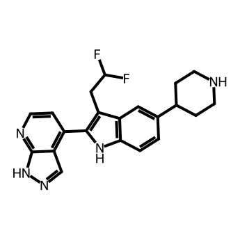 FC(F)Cc1c(-c2ccnc3[nH]ncc23)[nH]c2ccc(C3CCNCC3)cc12